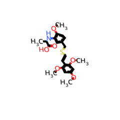 COc1cc(OC)c(C=CSCc2ccc(OC)c(NC(C)C(=O)O)c2)c(OC)c1